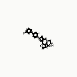 Fc1cccc(-c2ccc(-n3cc(CN4CCNCC4)c(-c4ccco4)n3)cc2)c1